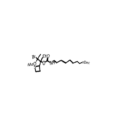 CCCCCCCCCCCCCCCCCCNC(=O)OC(CC)(C1CCS1)C(C)(Br)OC